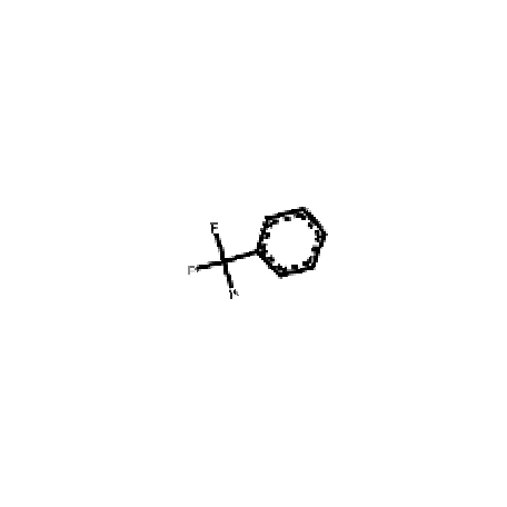 FC(F)([P])c1ccccc1